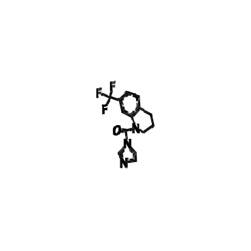 O=C(N1CCCc2ccc(C(F)(F)F)cc21)n1ccnc1